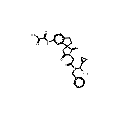 CC(C1CC1)N(Cc1ccccc1)C(=O)CN1C(=O)OC2(CCc3ccc(NC(=O)C(N)=O)cc32)C1=O